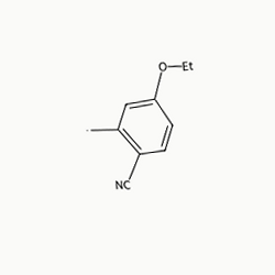 [CH2]c1cc(OCC)ccc1C#N